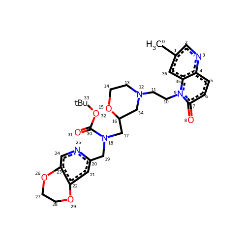 Cc1cnc2ccc(=O)n(CCN3CCOC(CN(Cc4cc5c(cn4)OCCO5)C(=O)OC(C)(C)C)C3)c2c1